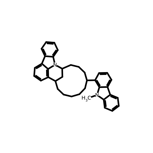 Cn1c2ccccc2c2cccc(C3CCCCCC4CC(CCC3)n3c5ccccc5c5cccc4c53)c21